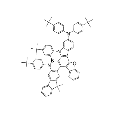 CC(C)(C)c1ccc(N2B3c4cc(C(C)(C)C)ccc4-n4c5cc(N(c6ccc(C(C)(C)C)cc6)c6ccc(C(C)(C)C)cc6)ccc5c5c6oc7ccccc7c6c(c3c54)-c3cc4c(cc32)-c2ccccc2C4(C)C)cc1